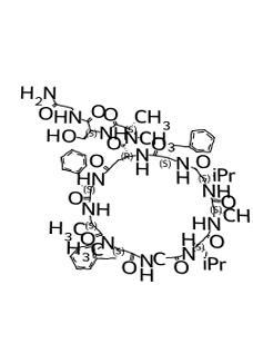 CC(C)C[C@@H]1NC(=O)CNC(=O)[C@H](Cc2ccccc2)N(C)C(=O)[C@H](C)NC(=O)[C@H](Cc2ccccc2)NC(=O)C[C@H](C(=O)N(C)[C@@H](C)C(=O)N[C@@H](CO)C(=O)NCC(N)=O)NC(=O)[C@H](Cc2ccccc2)NC(=O)[C@H](C(C)C)NC(=O)[C@H](C)NC1=O